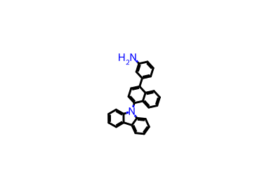 Nc1cccc(-c2ccc(-n3c4ccccc4c4ccccc43)c3ccccc23)c1